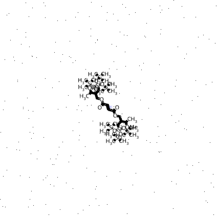 COC(C)C(COC(=O)/C=C/C(=O)OCC(C[Si](O[Si](C)(C)C)(O[Si](C)(C)C)O[Si](C)(C)C)C(C)OC)C[Si](O[Si](C)(C)C)(O[Si](C)(C)C)O[Si](C)(C)C